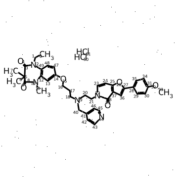 CCN1C(=O)C(C)(C)C(=O)N(C)c2cc(OCCCN(CCn3ccc4oc(-c5ccc(OC)cc5)cc4c3=O)Cc3ccncc3)ccc21.Cl.Cl